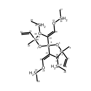 C=C[Si](C)(C)O[Si](O[Si](C)(C)C=C)(C(=CO[SiH2]C)O[SiH2]C)C(=CO[SiH2]C)O[SiH2]C